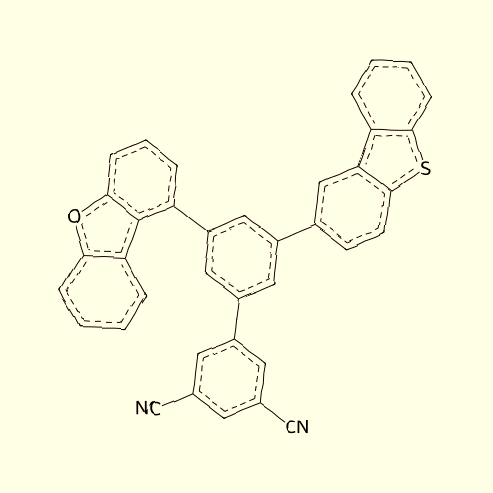 N#Cc1cc(C#N)cc(-c2cc(-c3ccc4sc5ccccc5c4c3)cc(-c3cccc4oc5ccccc5c34)c2)c1